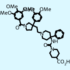 COc1ccc(C2(CCN3CCC(NC(=O)N4CCC(C(=O)O)CC4)(c4ccccc4)CC3)CCN(C(=O)c3cc(OC)c(OC)c(OC)c3)C2)cc1OC